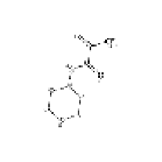 C=C(C(=O)SC1CCSCC1)C(F)(F)F